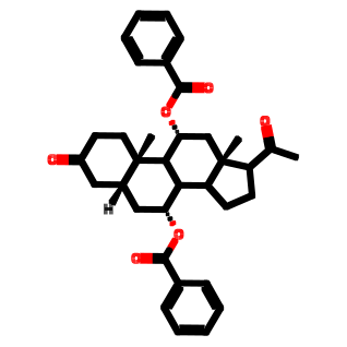 CC(=O)C1CCC2C3C([C@H](OC(=O)c4ccccc4)C[C@]12C)[C@@]1(C)CCC(=O)C[C@H]1C[C@H]3OC(=O)c1ccccc1